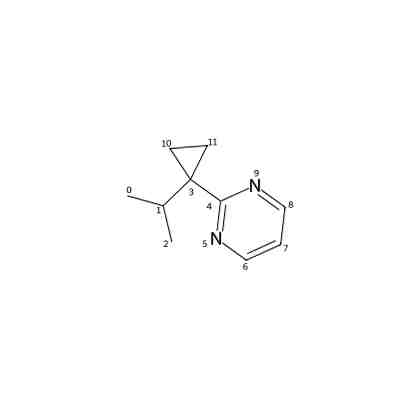 CC(C)C1(c2ncccn2)CC1